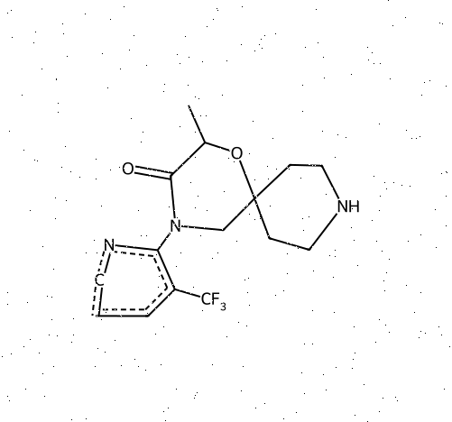 CC1OC2(CCNCC2)CN(c2ncccc2C(F)(F)F)C1=O